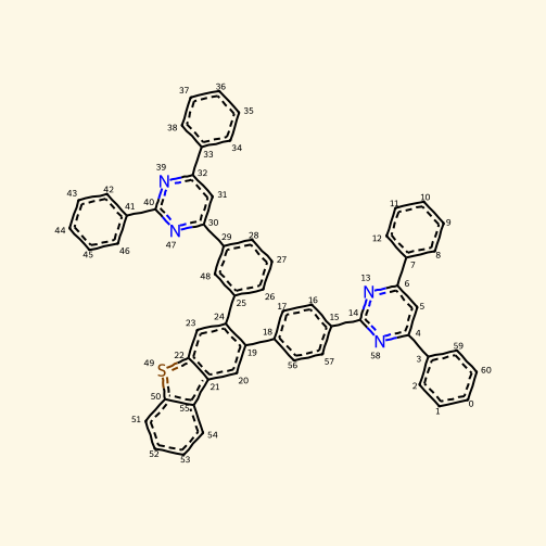 c1ccc(-c2cc(-c3ccccc3)nc(-c3ccc(-c4cc5c(cc4-c4cccc(-c6cc(-c7ccccc7)nc(-c7ccccc7)n6)c4)sc4ccccc45)cc3)n2)cc1